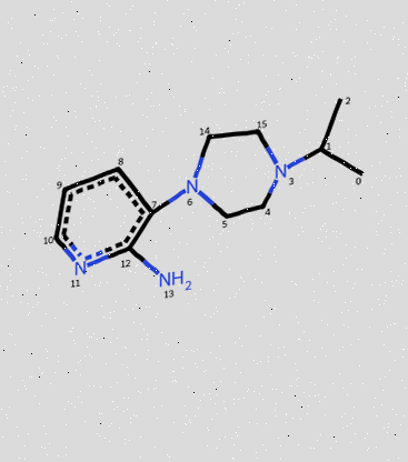 CC(C)N1CCN(c2cccnc2N)CC1